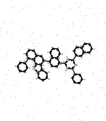 c1ccc(-c2nc(-c3ccc4ccccc4c3)nc(-c3ccc(-c4cc5cccc(-c6ccccc6)c5c5oc6ccccc6c45)c4ccccc34)n2)cc1